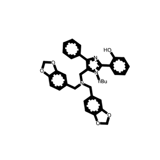 CCCCn1c(-c2ccccc2O)nc(-c2ccccc2)c1CN(Cc1ccc2c(c1)OCO2)Cc1ccc2c(c1)OCO2